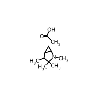 CC(=O)O.CC1C2CC2N(C)C1(C)C